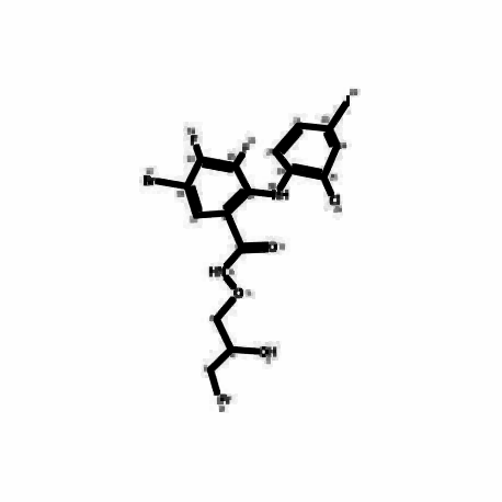 CC(C)CC(O)CONC(=O)c1cc(Br)c(F)c(F)c1Nc1ccc(I)cc1Cl